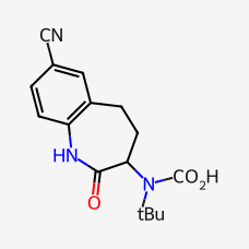 CC(C)(C)N(C(=O)O)C1CCc2cc(C#N)ccc2NC1=O